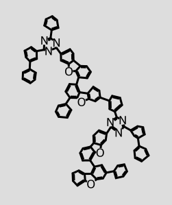 c1ccc(-c2cccc(-c3nc(-c4cccc(-c5ccc6c(c5)oc5c(-c7ccccc7)ccc(-c7cccc8c7oc7cc(-c9nc(-c%10ccccc%10)nc(-c%10cccc(-c%11ccccc%11)c%10)n9)ccc78)c56)c4)nc(-c4ccc5c(c4)oc4c(-c6cc(-c7ccccc7)cc7oc8ccccc8c67)cccc45)n3)c2)cc1